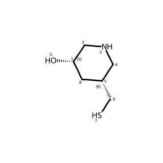 O[C@@H]1CNC[C@H](CS)C1